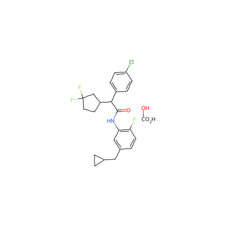 O=C(Nc1cc(CC2CC2)ccc1F)C(c1ccc(Cl)cc1)C1CCC(F)(F)C1.O=C(O)O